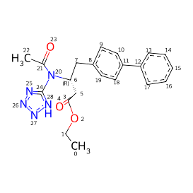 CCOC(=O)C[C@@H](Cc1ccc(-c2ccccc2)cc1)N(C(C)=O)c1nnn[nH]1